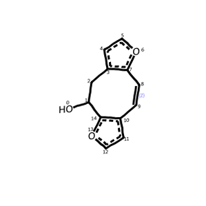 OC1Cc2ccoc2/C=C\c2ccoc21